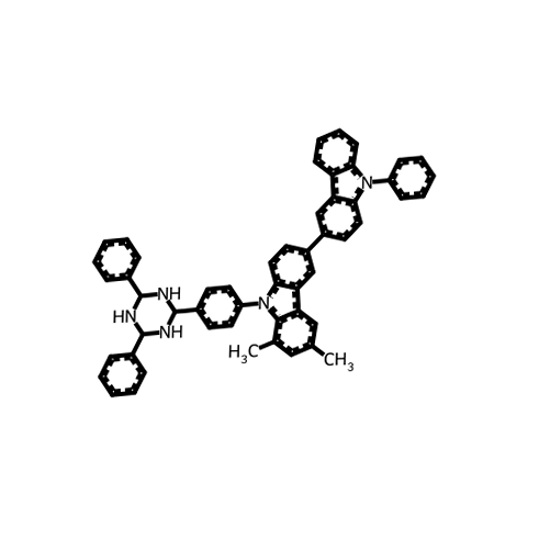 Cc1cc(C)c2c(c1)c1cc(-c3ccc4c(c3)c3ccccc3n4-c3ccccc3)ccc1n2-c1ccc(C2NC(c3ccccc3)NC(c3ccccc3)N2)cc1